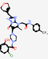 Cc1c(N2CCN(C(=O)c3c(O)cccc3Cl)CC2)c(=O)n2nc(C3=CCOCC3)nc2n1CC(=O)Nc1ccc(C(F)(F)F)cc1